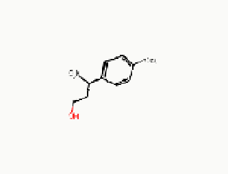 CCCCCCCCc1ccc(C(CCO)[N+](=O)[O-])cc1